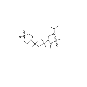 CC(C)OCC(N(C)S(C)(=O)=O)C(C)(C)CC(C)(C)N1CCS(=O)(=O)CC1